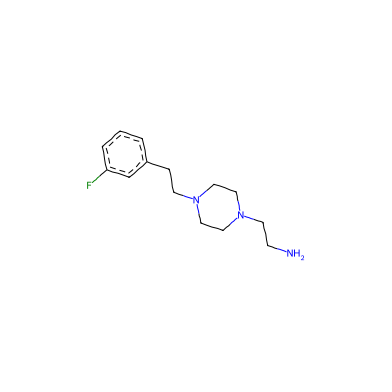 NCCN1CCN(CCc2cccc(F)c2)CC1